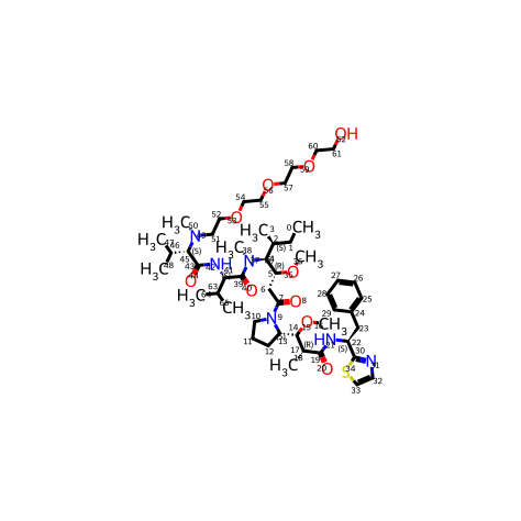 CC[C@H](C)[C@@H]([C@@H](CC(=O)N1CCC[C@H]1C(OC)[C@@H](C)C(=O)N[C@@H](Cc1ccccc1)c1nccs1)OC)N(C)C(=O)[C@@H](NC(=O)[C@H](C(C)C)N(C)CCOCCOCCOCCO)C(C)C